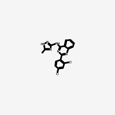 Cc1nc(Nc2nc(-c3ccc(Cl)cc3Cl)nc3ccccc23)n[nH]1